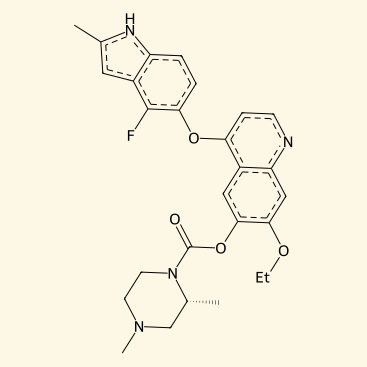 CCOc1cc2nccc(Oc3ccc4[nH]c(C)cc4c3F)c2cc1OC(=O)N1CCN(C)C[C@H]1C